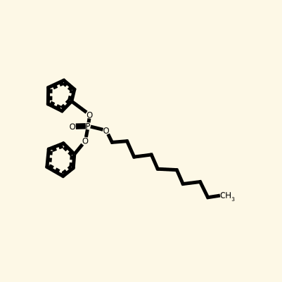 CCCCCCCCCCOP(=O)(Oc1ccccc1)Oc1ccccc1